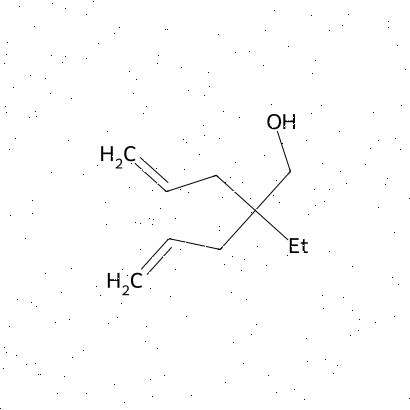 C=CCC(CC)(CO)CC=C